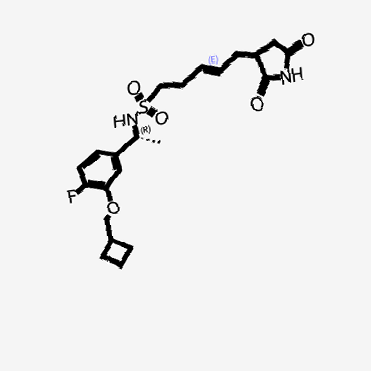 C[C@@H](NS(=O)(=O)CC/C=C/CC1CC(=O)NC1=O)c1ccc(F)c(OCC2CCC2)c1